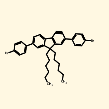 CCCCCCC1(CCCCCC)c2cc(-c3ccc(Br)cc3)c#cc2-c2ccc(-c3ccc(Br)cc3)cc21